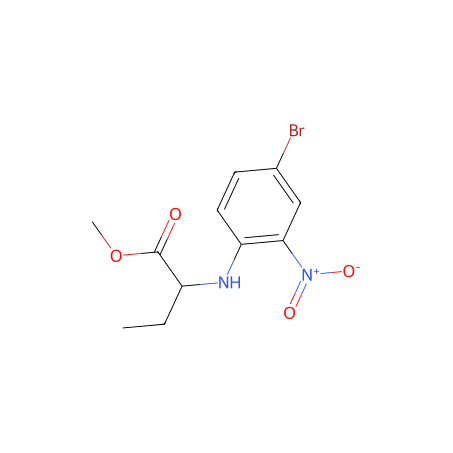 CCC(Nc1ccc(Br)cc1[N+](=O)[O-])C(=O)OC